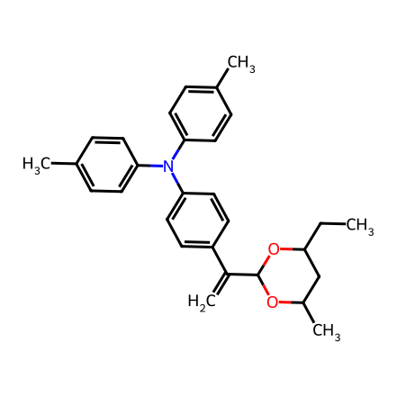 C=C(c1ccc(N(c2ccc(C)cc2)c2ccc(C)cc2)cc1)C1OC(C)CC(CC)O1